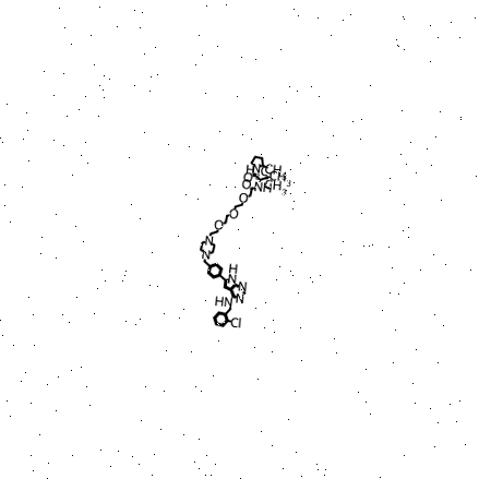 CC1CCCN1C(=O)C(NC(=O)COCCOCCOCCN1CCN(Cc2ccc(-c3cc4c(NCc5ccccc5Cl)ncnc4[nH]3)cc2)CC1)C(C)(C)C